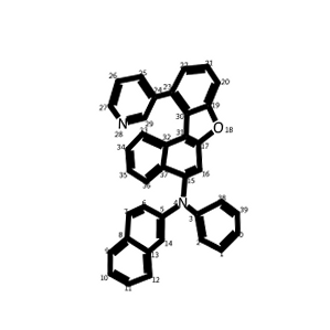 c1ccc(N(c2ccc3ccccc3c2)c2cc3oc4cccc(-c5cccnc5)c4c3c3ccccc23)cc1